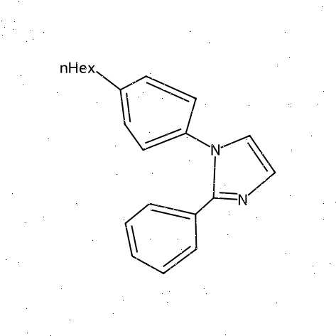 CCCCCCc1ccc(-n2ccnc2-c2ccccc2)cc1